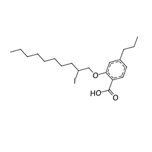 CCCCCCCCC(I)COc1cc(CCC)ccc1C(=O)O